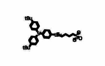 CC(C)(C)c1ccc([S+](c2ccc(C(C)(C)C)cc2)c2ccc(C(C)(C)C)cc2)cc1.O=S(=O)([O-])CCCCF